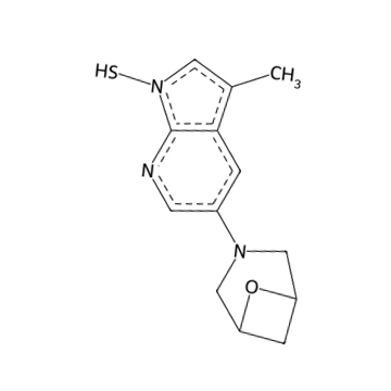 Cc1cn(S)c2ncc(N3CC4CC(C3)O4)cc12